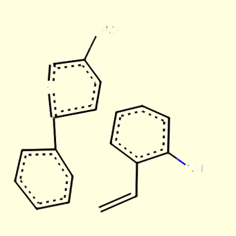 C=Cc1ccccc1N.COc1ccc(-c2ccccc2)cc1